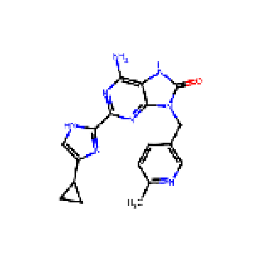 Cc1ccc(Cn2c(=O)[nH]c3c(N)nc(-c4nc(C5CC5)c[nH]4)nc32)cn1